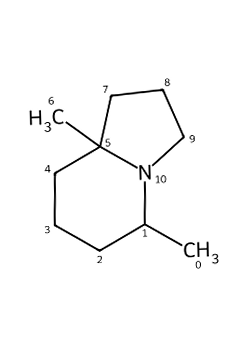 CC1CCCC2(C)CCCN12